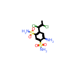 CC(Cl)=C(Cl)c1cc(N)c(S(N)(=O)=O)cc1S(N)(=O)=O